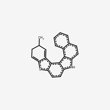 CC1C=c2c(sc3ccc4[nH]c5ccc6ccccc6c5c4c23)=CC1